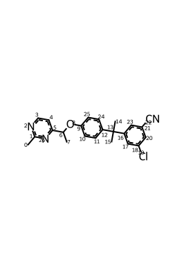 Cc1nccc(C(C)Oc2ccc(C(C)(C)c3cc(Cl)cc(C#N)c3)cc2)n1